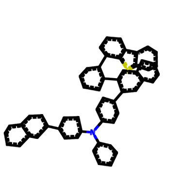 c1ccc(N(c2ccc(-c3ccc4ccccc4c3)cc2)c2ccc(-c3cc4ccccc4cc3-c3ccccc3-c3cccc4c3sc3ccccc34)cc2)cc1